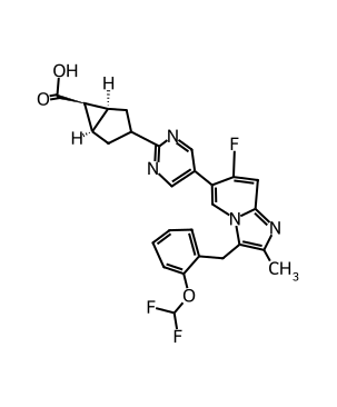 Cc1nc2cc(F)c(-c3cnc(C4C[C@@H]5[C@H](C4)[C@@H]5C(=O)O)nc3)cn2c1Cc1ccccc1OC(F)F